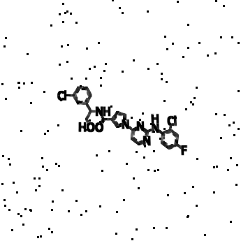 O=C(NC(CO)c1cccc(Cl)c1)c1ccn(-c2ccnc(Nc3ccc(F)cc3Cl)n2)c1